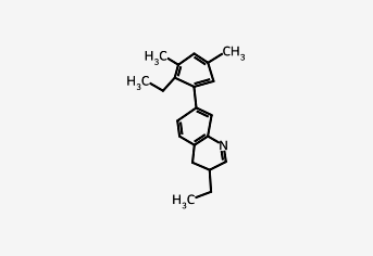 CCc1c(C)cc(C)cc1-c1ccc2c(c1)N=CC(CC)C2